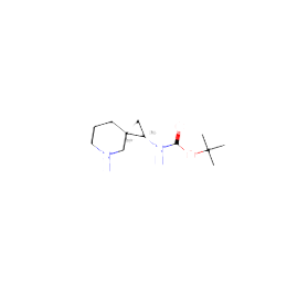 CC(C)(C)OC(=O)N[C@@H]1C[C@@]12CCCNC2